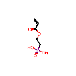 C=CC(=O)OCCP(=O)(O)O